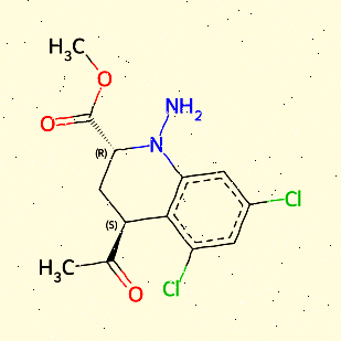 COC(=O)[C@H]1C[C@H](C(C)=O)c2c(Cl)cc(Cl)cc2N1N